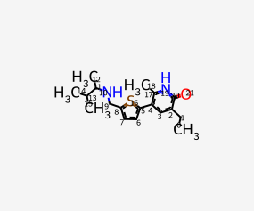 CCc1cc(-c2ccc(CNC(C)C(C)C)s2)c(C)[nH]c1=O